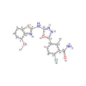 COc1cccc2sc(Nc3nnc(-c4ccc(Cl)c(C(N)=O)c4C)o3)nc12